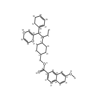 CCN(C1CCC(COC(=O)c2cnc3ccc(OC)cc3c2)CC1)C(C1=CC=CCC1)C1=COC=CO1